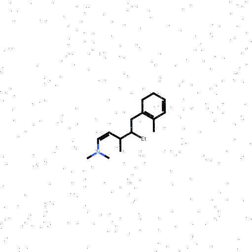 CCC(CC1=C(C)C=CCC1)C(C)/C=C\N(C)C